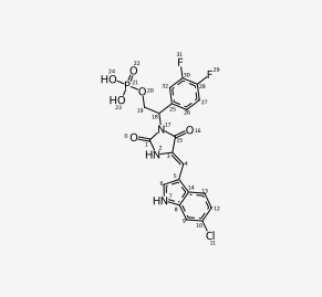 O=C1NC(=Cc2c[nH]c3cc(Cl)ccc23)C(=O)N1C(COP(=O)(O)O)c1ccc(F)c(F)c1